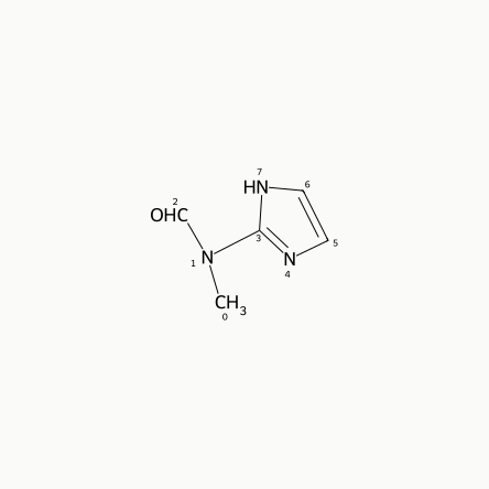 CN(C=O)c1ncc[nH]1